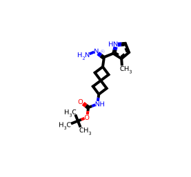 Cc1cc[nH]c1/C(=N/N)C1CC2(CC(NC(=O)OC(C)(C)C)C2)C1